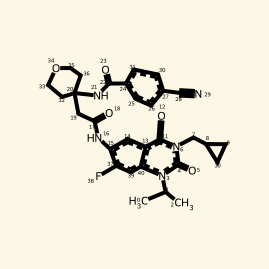 CC(C)n1c(=O)n(CC2CC2)c(=O)c2cc(NC(=O)CC3(NC(=O)c4ccc(C#N)cc4)CCOCC3)c(F)cc21